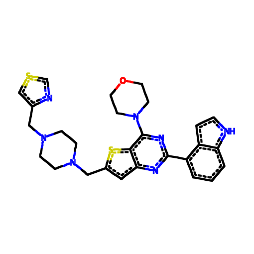 c1cc(-c2nc(N3CCOCC3)c3sc(CN4CCN(Cc5cscn5)CC4)cc3n2)c2cc[nH]c2c1